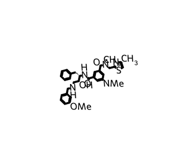 CNc1cc(C(=O)N[C@@H](Cc2ccccc2)[C@H](O)CNCc2cccc(OC)c2)cc(C(=O)N(C)Cc2nc(C)cs2)c1